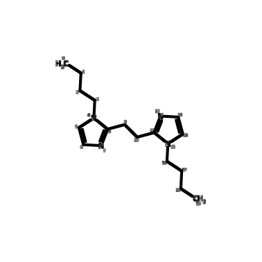 CCCCn1ccnc1CCc1nccn1CCCC